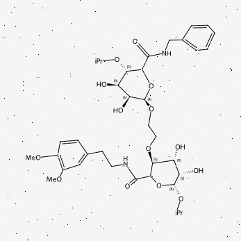 COc1ccc(CCNC(=O)C2O[C@@H](OC(C)C)[C@@H](O)[C@@H](O)[C@@H]2OCCO[C@@H]2OC(C(=O)NCc3ccccc3)[C@@H](OC(C)C)[C@H](O)[C@@H]2O)cc1OC